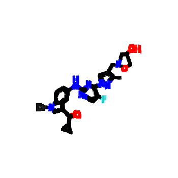 CCn1cc(C(=O)C2CC2)c2cc(Nc3ncc(F)c(-n4cc(CN5CC(O)CO5)c(C)n4)n3)ccc21